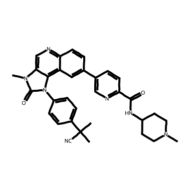 CN1CCC(NC(=O)c2ccc(-c3ccc4ncc5c(c4c3)n(-c3ccc(C(C)(C)C#N)cc3)c(=O)n5C)cn2)CC1